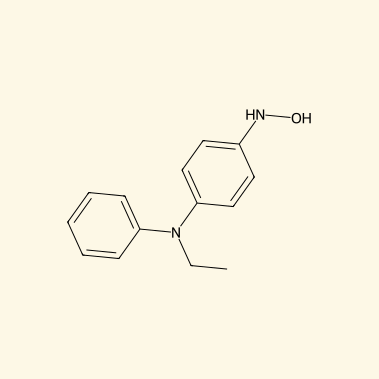 CCN(c1ccccc1)c1ccc(NO)cc1